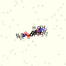 CCN(CC)C(=O)COC(=O)C1=CC2=CC[C@H]3[C@@H]4CC[C@H](C(=O)N(C(=O)NC(C)C)C(C)C)[C@@]4(C)CC[C@@H]3[C@@]2(C)CC1